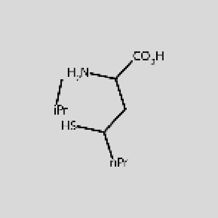 CC(C)C.CCCC(S)CC(N)C(=O)O